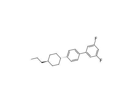 CCC[C@H]1CC[C@H](c2ccc(-c3cc(F)cc(F)c3)cc2)CC1